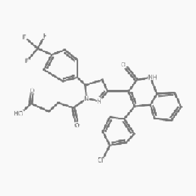 O=C(O)CCC(=O)N1N=C(c2c(-c3ccc(Cl)cc3)c3ccccc3[nH]c2=O)CC1c1ccc(C(F)(F)F)cc1